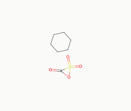 C1CCCCC1.O=C1OS1(=O)=O